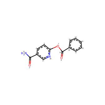 NC(=O)c1ccc(OC(=O)c2ccccc2)nc1